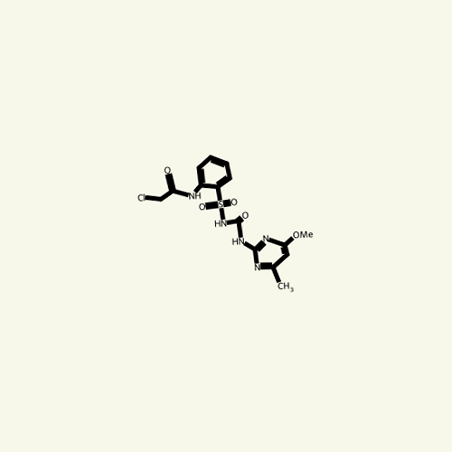 COc1cc(C)nc(NC(=O)NS(=O)(=O)c2ccccc2NC(=O)CCl)n1